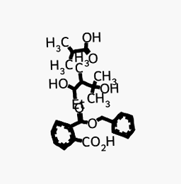 CC(C)C(=O)O.CCC(O)C(C)C(C)(C)O.O=C(O)c1ccccc1C(=O)OCc1ccccc1